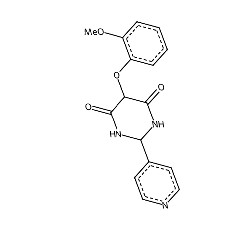 COc1ccccc1OC1C(=O)NC(c2ccncc2)NC1=O